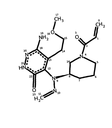 C=CC(=O)N1CCC[C@@H](N(N=C)c2c(CCOC)c(N)n[nH]c2=O)C1